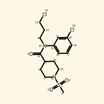 CS(=O)(=O)N1CCC(C(=O)N(CCCCl)c2cccc(Cl)c2)CC1